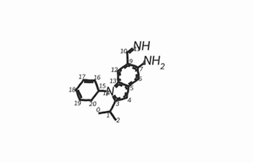 CC(C)c1cc2cc(N)c(C=N)cc2n1C1C=CC=CC1